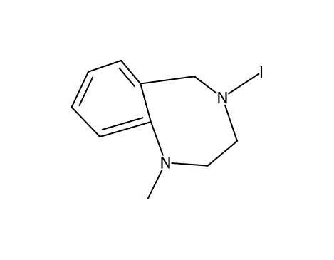 CN1CCN(I)Cc2ccccc21